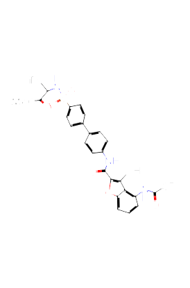 COC(=O)C(NS(=O)(=O)c1ccc(-c2ccc(NC(=O)c3oc4cccc(NC(=O)C(F)(F)F)c4c3C)cc2)cc1)C(C)C